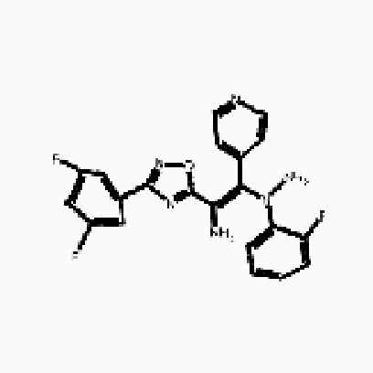 N/C(=C(/c1ccncc1)N(N)c1ccccc1F)c1nc(-c2cc(F)cc(F)c2)no1